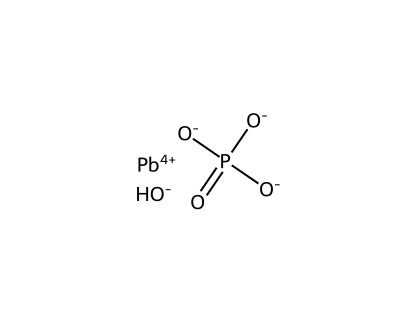 O=P([O-])([O-])[O-].[OH-].[Pb+4]